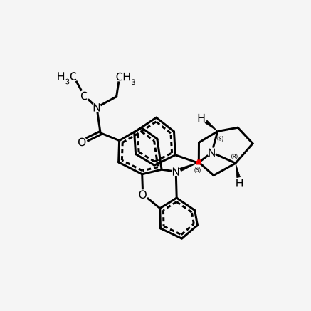 CCN(CC)C(=O)c1ccc2c(c1)Oc1ccccc1N2[C@@H]1C[C@H]2CC[C@@H](C1)N2Cc1ccccc1